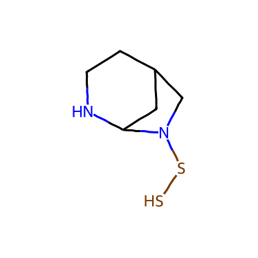 SSN1CC2CCNC1C2